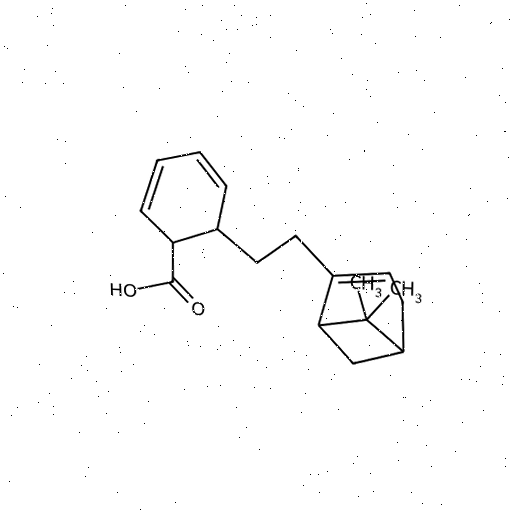 CC1(C)C2CC=C(CCC3C=CC=CC3C(=O)O)C1C2